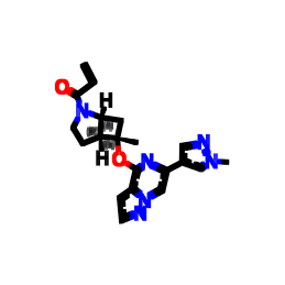 C=CC(=O)N1CC[C@@H]2[C@H]1C[C@]2(C)Oc1nc(-c2cnn(C)c2)cn2nccc12